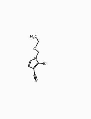 CCOCn1ccc(C#N)c1Br